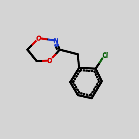 Clc1ccccc1CC1=NOCCO1